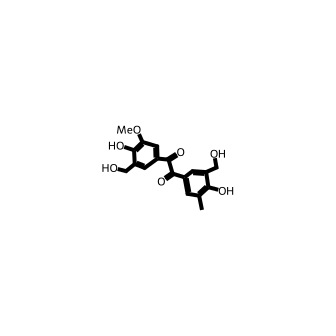 COc1cc(C(=O)C(=O)c2cc(C)c(O)c(CO)c2)cc(CO)c1O